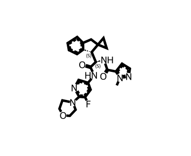 Cn1nccc1C(=O)N[C@H](C(=O)Nc1cnc(N2CCOCC2)c(F)c1)[C@@H]1c2ccccc2CC12CC2